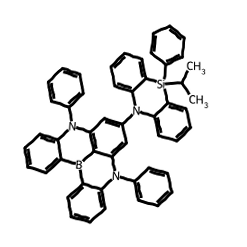 CC(C)[Si]1(c2ccccc2)c2ccccc2N(c2cc3c4c(c2)N(c2ccccc2)c2ccccc2B4c2ccccc2N3c2ccccc2)c2ccccc21